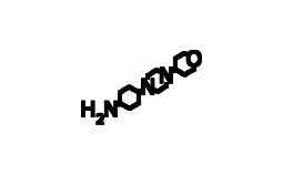 NC1CCC(N2CCN(C3CCOCC3)CC2)CC1